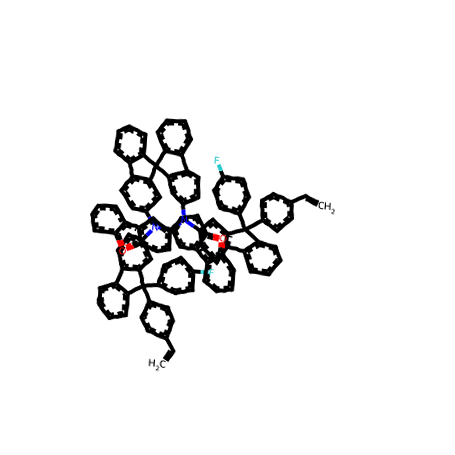 C=Cc1ccc(C2(c3ccc(F)cc3)c3ccccc3-c3ccc(N(c4ccc5c(c4)C4(c6ccccc6-5)c5ccccc5-c5ccc(N(c6ccc7c(c6)C(c6ccc(F)cc6)(c6ccc(C=C)cc6)c6ccccc6-7)c6ccc7oc8ccccc8c7c6)cc54)c4ccc5oc6ccccc6c5c4)cc32)cc1